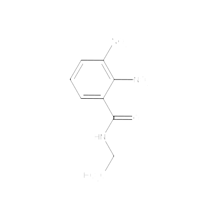 O=C(O)CNC(=O)c1cccc([N+](=O)[O-])c1[N+](=O)[O-]